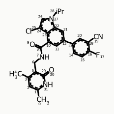 Cc1cc(C)c(CNC(=O)c2cc(-c3ccc(F)c(C#N)c3)cc3c2c(Cl)cn3C(C)C)c(=O)[nH]1